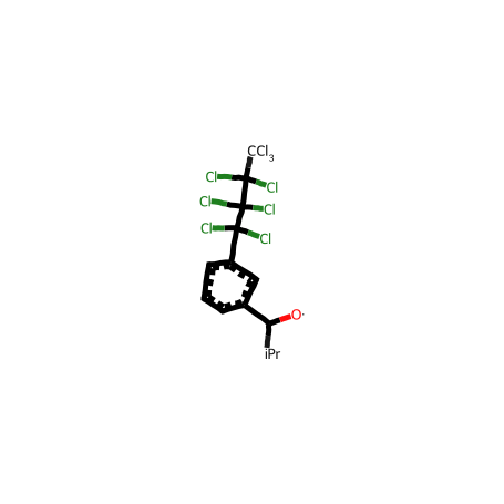 CC(C)C([O])c1cccc(C(Cl)(Cl)C(Cl)(Cl)C(Cl)(Cl)C(Cl)(Cl)Cl)c1